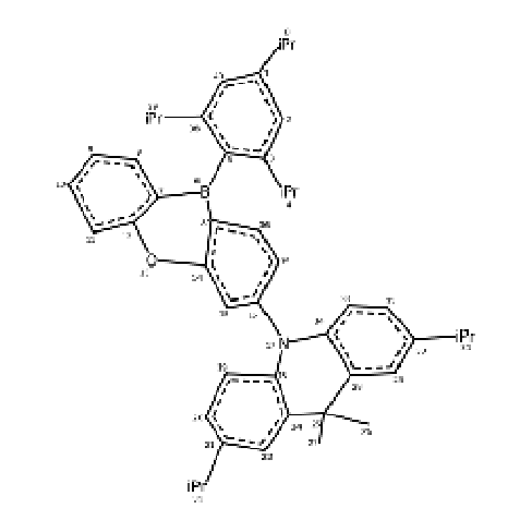 CC(C)c1cc(C(C)C)c(B2c3ccccc3Oc3cc(N4c5ccc(C(C)C)cc5C(C)(C)c5cc(C(C)C)ccc54)ccc32)c(C(C)C)c1